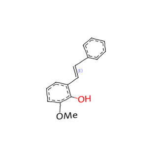 COc1cccc(/C=C/c2ccccc2)c1O